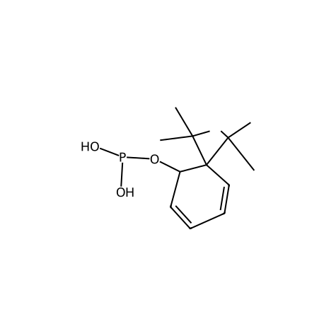 CC(C)(C)C1(C(C)(C)C)C=CC=CC1OP(O)O